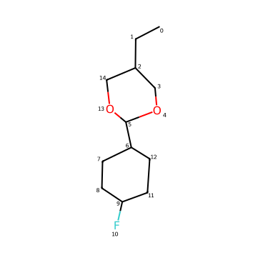 CCC1COC(C2CCC(F)CC2)OC1